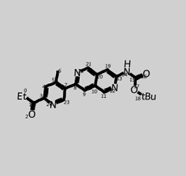 CCC(=O)c1cc(C)c(-c2cc3cnc(NC(=O)OC(C)(C)C)cc3cn2)cn1